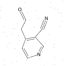 N#Cc1cnccc1CC=O